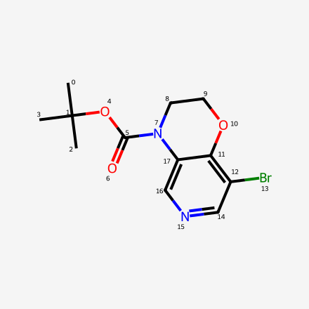 CC(C)(C)OC(=O)N1CCOc2c(Br)cncc21